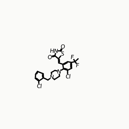 CC(F)(F)c1cc(Cl)c(N2CCN(Cc3ccccc3Cl)CC2)c(/C=C2\SC(=O)NC2=O)c1